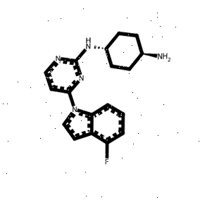 N[C@H]1CC[C@H](Nc2nccc(-n3ccc4c(F)cccc43)n2)CC1